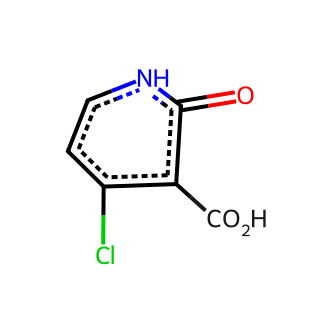 O=C(O)c1c(Cl)cc[nH]c1=O